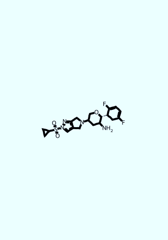 NC1CC(N2Cc3cn(S(=O)(=O)C4CC4)nc3C2)CO[C@@H]1C1CC(F)=CC=C1F